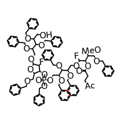 COC(COCc1ccccc1)C(OC(=O)CCC(C)=O)C(F)OCC(OCc1ccccc1)C(OCc1ccccc1)C(COP(=O)(OCc1ccccc1)OC1C(COCc2ccccc2)OC(OCC(OCc2ccccc2)C(OCc2ccccc2)C(CO)OCc2ccccc2)C1F)OCc1ccccc1